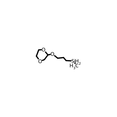 C[SiH2]CCCOC1COCCO1